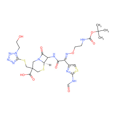 CC(C)(C)OC(=O)NCCON=C(C(=O)NC1C(=O)N2CC(CSc3nnnn3CCO)(C(=O)O)CS[C@H]12)c1csc(NC=O)n1